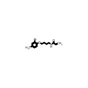 C=CC(=O)NCCCCOc1ccc(C)cc1Br